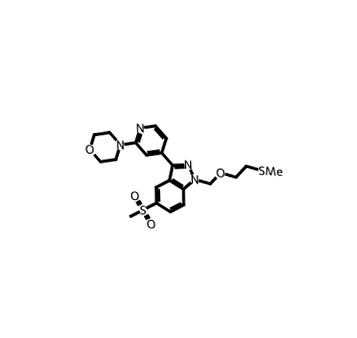 CSCCOCn1nc(-c2ccnc(N3CCOCC3)c2)c2cc(S(C)(=O)=O)ccc21